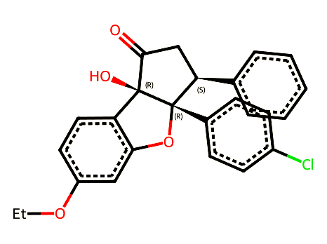 CCOc1ccc2c(c1)O[C@@]1(c3ccc(Cl)cc3)[C@H](c3ccccc3)CC(=O)[C@@]21O